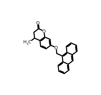 CC1CC(=O)Oc2cc(OCc3c4ccccc4cc4ccccc34)ccc21